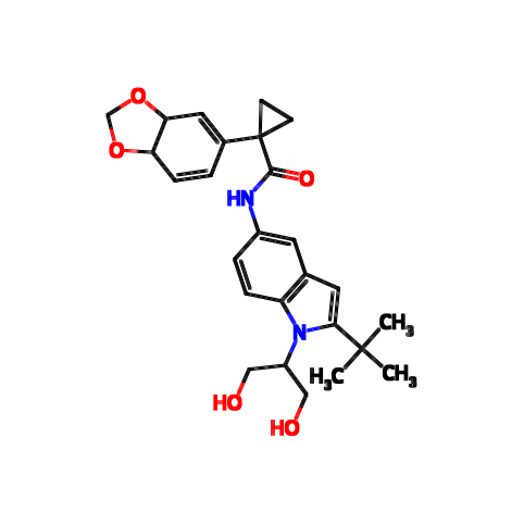 CC(C)(C)c1cc2cc(NC(=O)C3(C4=CC5OCOC5C=C4)CC3)ccc2n1C(CO)CO